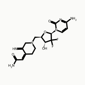 N=C1CN(C[C@H]2O[C@@H](n3ccc(N)nc3=O)C(F)(F)[C@@H]2O)CC/C1=C/C(N)=O